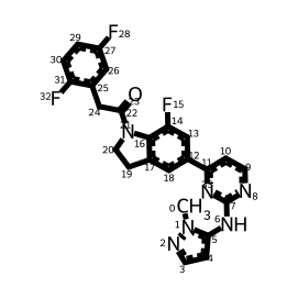 Cn1nccc1Nc1nccc(-c2cc(F)c3c(c2)CCN3C(=O)Cc2cc(F)ccc2F)n1